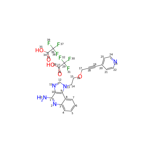 Nc1nc2ccccc2c2c1ncn2CCOCC#Cc1ccncc1.O=C(O)C(F)(F)F.O=C(O)C(F)(F)F